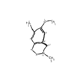 COc1cc2c(cc1N)CCN(C)C2